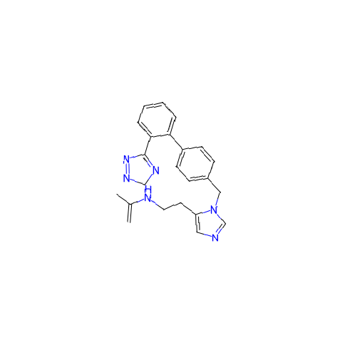 C=C(C)NCCc1cncn1Cc1ccc(-c2ccccc2C2=NCN=N2)cc1